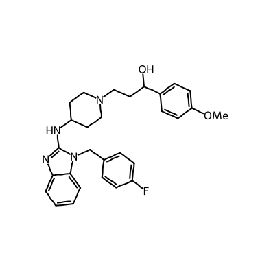 COc1ccc(C(O)CCN2CCC(Nc3nc4ccccc4n3Cc3ccc(F)cc3)CC2)cc1